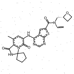 C=CN(C[C@H]1CCO1)C(=O)c1cc2c(Nc3cc(C)c4n(c3=O)C3(CCCC3)NC4=O)ncnc2s1